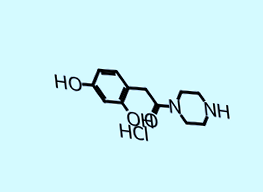 Cl.O=C(Cc1ccc(O)cc1O)N1CCNCC1